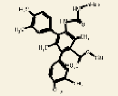 CCCCCCNC(=O)Nc1c(C)c(C(OC(C)(C)C)C(=O)O)c(-c2ccc(C)c(C)c2)c(C)c1-c1ccc(C)c(C)c1